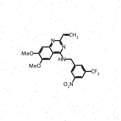 C=Cc1nc(NCc2cc([N+](=O)[O-])cc(C(F)(F)F)c2)c2cc(OC)c(OC)cc2n1